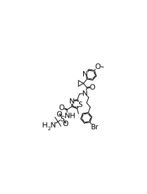 COc1ccc(C2(C(=O)N(CCCc3cccc(Br)c3)Cc3nc(C(=O)NS(=O)(=O)C(C)(C)N)c(C)s3)CC2)nc1